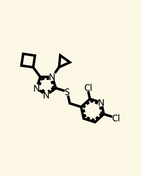 Clc1ccc(CSc2nnc(C3CCC3)n2C2CC2)c(Cl)n1